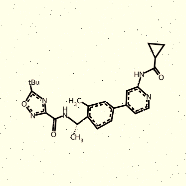 Cc1cc(-c2ccnc(NC(=O)C3CC3)c2)ccc1[C@H](C)NC(=O)c1noc(C(C)(C)C)n1